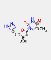 Cc1cn([C@H]2C[C@@H](C(C)(C)C)C(Cc3c[nH]nn3)O2)c(=O)[nH]c1=O